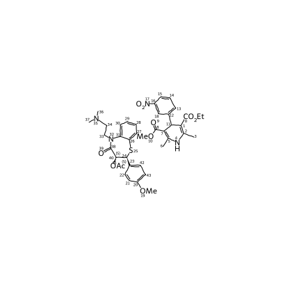 CCOC(=O)C1=C(C)NC(C)=C(C(=O)OC)C1c1cccc([N+](=O)[O-])c1.COc1ccc([C@@H]2Sc3ccccc3N(CCN(C)C)C(=O)[C@@H]2OC(C)=O)cc1